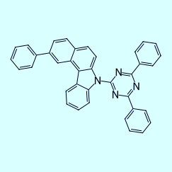 c1ccc(-c2ccc3ccc4c(c3c2)c2ccccc2n4-c2nc(-c3ccccc3)nc(-c3ccccc3)n2)cc1